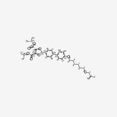 C=C(C)COCCCCCCOc1ccc(-c2ccc(C3O[C@@H](C(=O)OC(C)C)[C@H](C(=O)OC(C)C)O3)cc2)cc1